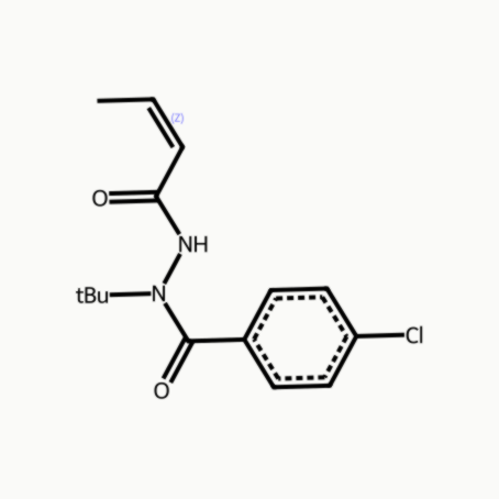 C/C=C\C(=O)NN(C(=O)c1ccc(Cl)cc1)C(C)(C)C